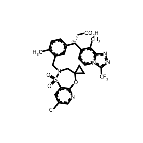 Cc1ccc([C@H](CC(=O)O)c2ccn3c(C(F)(F)F)nnc3c2C)cc1CN1CC2(CC2)Oc2ncc(Cl)cc2S1(=O)=O